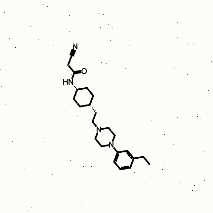 CCc1cccc(N2CCN(CC[C@H]3CC[C@@H](NC(=O)CC#N)CC3)CC2)c1